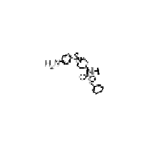 Nc1ccc(SN2CCC(NC(=O)OCc3ccccc3)CC2)cc1